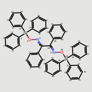 c1ccc(C(=NO[Si](c2ccccc2)(c2ccccc2)c2ccccc2)C(=NO[Si](c2ccccc2)(c2ccccc2)c2ccccc2)c2ccccc2)cc1